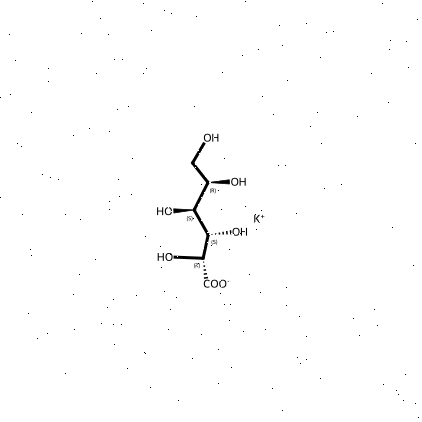 O=C([O-])[C@H](O)[C@@H](O)[C@@H](O)[C@H](O)CO.[K+]